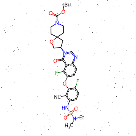 CCN(C)S(=O)(=O)Nc1ccc(F)c(Oc2ccc3ncn([C@H]4COC5(CCN(C(=O)OC(C)(C)C)CC5)C4)c(=O)c3c2F)c1C#N